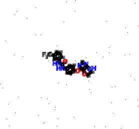 O=C(Nc1ccc(Oc2ncnc3c2OCCN3)cc1)Nc1cccc(C(F)(F)F)c1